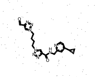 O=Cc1cn(CCCCn2cc(C(=O)NCc3cc(C4CC4)ccn3)nn2)nn1